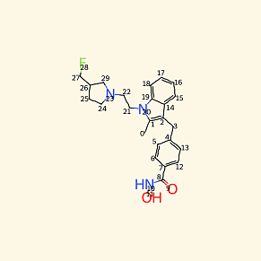 Cc1c(Cc2ccc(C(=O)NO)cc2)c2ccccc2n1CCN1CCC(CF)C1